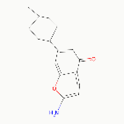 CC1CCC(c2cc3oc(N)ccc-3c(=O)c2)CC1